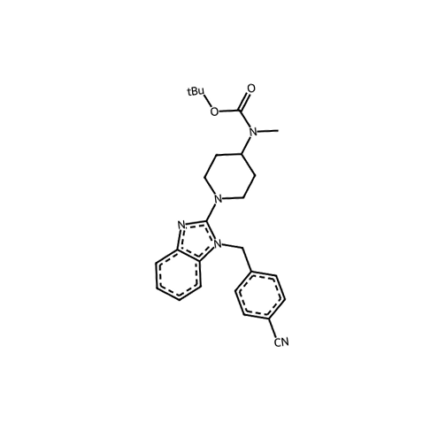 CN(C(=O)OC(C)(C)C)C1CCN(c2nc3ccccc3n2Cc2ccc(C#N)cc2)CC1